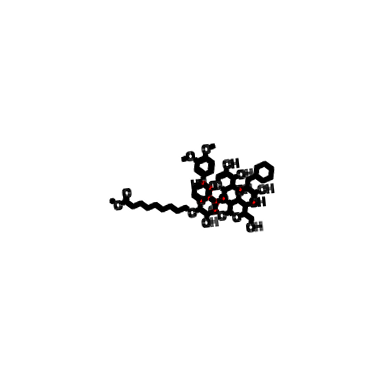 COC(=O)CCCCCCCCOC1OC(C(=O)Nc2ccc(OC)c(OC)c2)C(OC2OC=C(O)C(O)C2O)C(OC2OC(CO)C(O)C(OC(CC3CCCCC3)C(=O)O)C2OC(=O)c2ccccc2)C1O